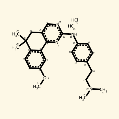 COc1ccc2c(c1)-c1nc(Nc3ccc(CCN(C)C)cc3)ncc1CC2(C)C.Cl.Cl